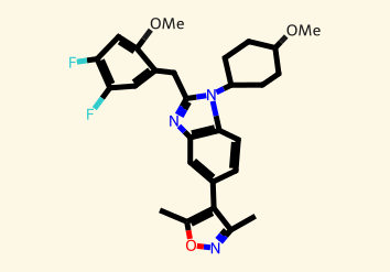 COc1cc(F)c(F)cc1Cc1nc2cc(-c3c(C)noc3C)ccc2n1C1CCC(OC)CC1